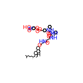 CC(C)CCC[C@@H](C)[C@H]1CCC2[C@@H]3CC=C4C[C@@H](OCCCNC(=O)CCC(=O)N[C@@H](Cc5ccccc5)C(=O)N[C@@H](Cc5ccccc5)C(=O)Nc5ccc(COC(=O)Oc6ccc([N+](=O)O)cc6)cc5)CC[C@]4(C)C3CC[C@@]21C